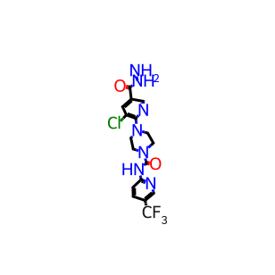 NNC(=O)c1cnc(N2CCN(C(=O)Nc3ccc(C(F)(F)F)cn3)CC2)c(Cl)c1